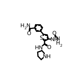 NC(=O)Nc1cc(-c2cccc(C(N)=O)c2)sc1C(=O)N[C@H]1CCCNC1